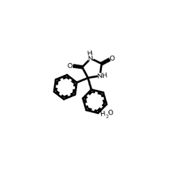 O.O=C1NC(=O)C(c2ccccc2)(c2ccccc2)N1